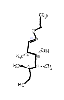 C[C@@H]([C@@H](O)[C@H](C)/C=N/OCC(=O)O)[C@H](O)CO